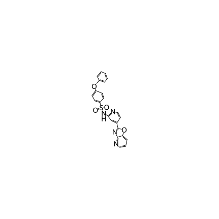 O=S(=O)(Nc1cc(-c2nc3ncccc3o2)ccn1)c1ccc(Oc2ccccc2)cc1